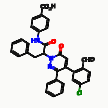 O=Cc1ccc(Cl)cc1-c1cc(=O)n(C(Cc2ccccc2)C(=O)Nc2ccc(C(=O)O)cc2)nc1-c1ccccc1